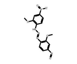 COc1cc(N=O)ccc1N=NNc1ccc([N+](=O)[O-])cc1OC